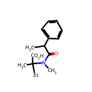 CCC(C)(C(=O)O)N(C)C(=O)C(C)c1ccccc1